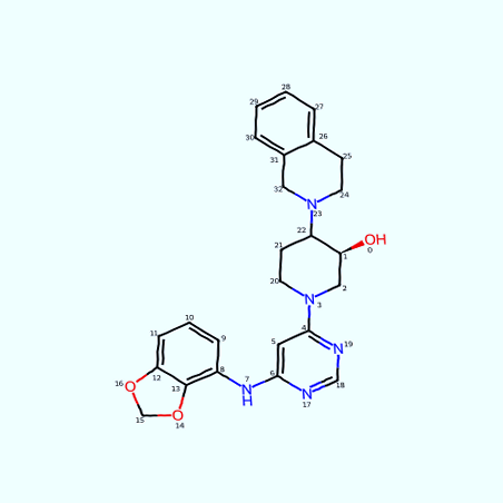 O[C@H]1CN(c2cc(Nc3cccc4c3OCO4)ncn2)CCC1N1CCc2ccccc2C1